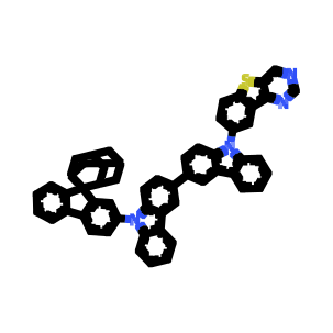 c1ccc2c(c1)-c1ccc(-n3c4ccccc4c4cc(-c5ccc6c(c5)c5ccccc5n6-c5ccc6sc7cncnc7c6c5)ccc43)cc1C21C2CC3CC(C2)CC1C3